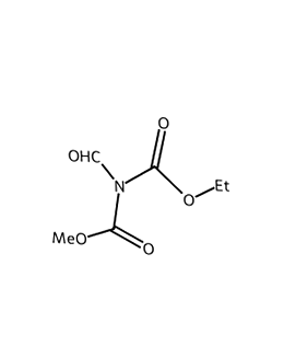 CCOC(=O)N(C=O)C(=O)OC